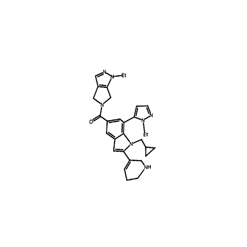 CCn1nccc1-c1cc(C(=O)N2Cc3cnn(CC)c3C2)cc2cc(C3=CCCNC3)n(CC3CC3)c12